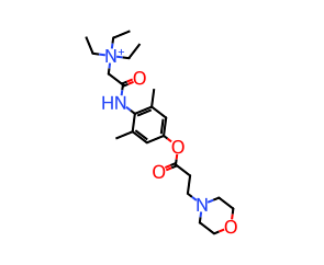 CC[N+](CC)(CC)CC(=O)Nc1c(C)cc(OC(=O)CCN2CCOCC2)cc1C